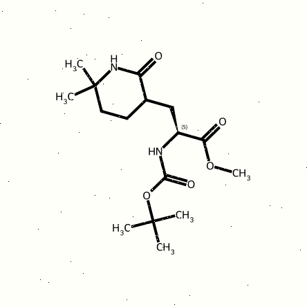 COC(=O)[C@H](CC1CCC(C)(C)NC1=O)NC(=O)OC(C)(C)C